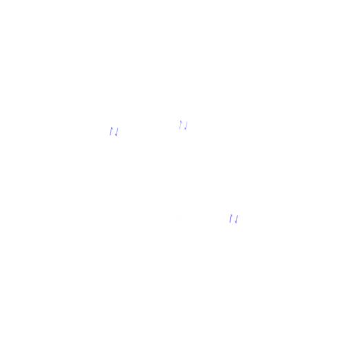 c1cnc(C2CN3CCC2C3)cn1